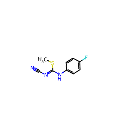 CSC(=NC#N)Nc1ccc(F)cc1